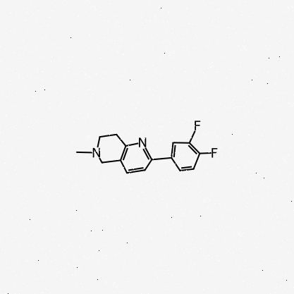 CN1CCc2nc(-c3ccc(F)c(F)c3)ccc2C1